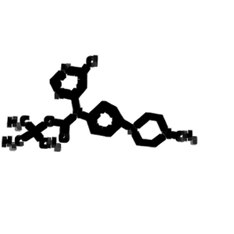 CN1CCN(c2ccc(N(C(=O)OC(C)(C)C)c3cc(Cl)ncn3)cc2)CC1